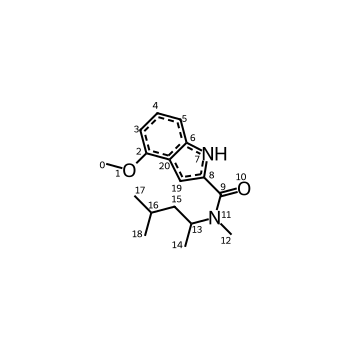 COc1cccc2[nH]c(C(=O)N(C)C(C)CC(C)C)cc12